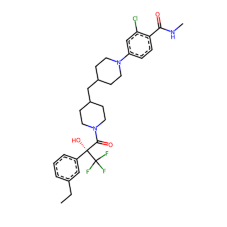 CCc1cccc([C@@](O)(C(=O)N2CCC(CC3CCN(c4ccc(C(=O)NC)c(Cl)c4)CC3)CC2)C(F)(F)F)c1